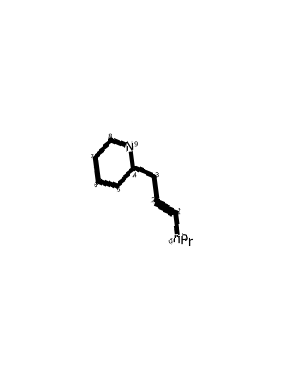 CCCC=CCC1CCCC[N]1